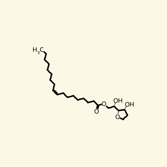 CCCCCCCC/C=C\CCCCCCCC(=O)OC[C@H](O)[C@H]1OCC[C@H]1O